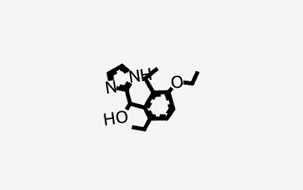 CCOc1ccc(CC)c(C(O)c2ncc[nH]2)c1CC